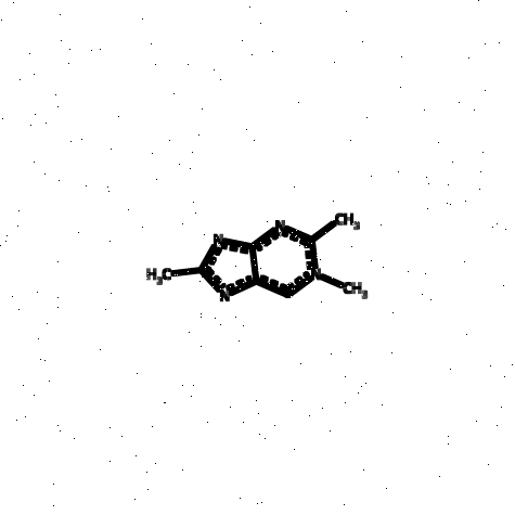 Cc1nc2cn(C)c(C)nc-2n1